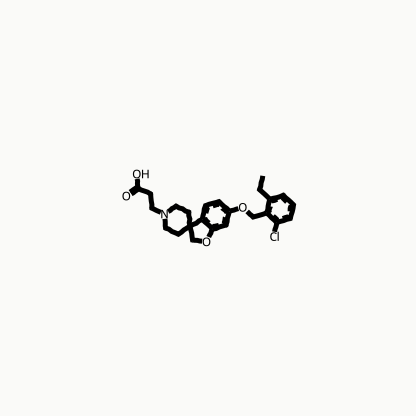 CCc1cccc(Cl)c1COc1ccc2c(c1)OCC21CCN(CCC(=O)O)CC1